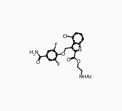 CC(=O)NCCOC(=O)c1sc2cccc(Cl)c2c1COc1c(F)cc(C(N)=O)cc1F